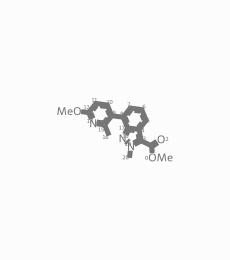 COC(=O)c1c2cccc(-c3ccc(OC)nc3C)c2nn1C